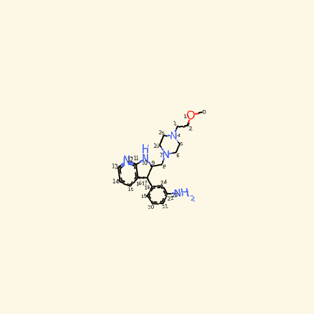 COCCN1CCN(CC2Nc3ncccc3C2c2cccc(N)c2)CC1